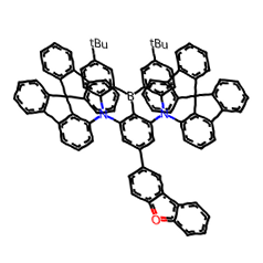 CC(C)(C)c1ccc2c(c1)B1c3cc(C(C)(C)C)ccc3N(c3cccc4c3C3(c5ccccc5-c5ccccc53)c3ccccc3-4)c3cc(-c4ccc5oc6ccccc6c5c4)cc(c31)N2c1cccc2c1C1(c3ccccc3-c3ccccc31)c1ccccc1-2